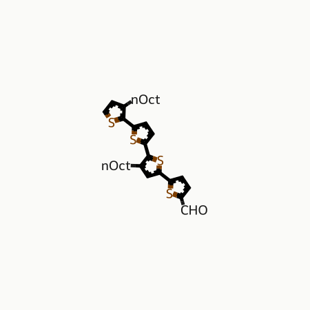 CCCCCCCCc1ccsc1-c1ccc(-c2sc(-c3ccc(C=O)s3)cc2CCCCCCCC)s1